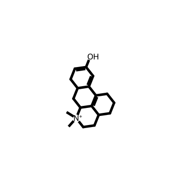 C[N+]1(C)CCC2CCCC3=C2C1CC1CC=C(O)C=C31